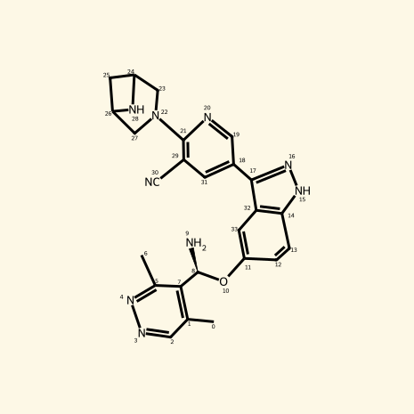 Cc1cnnc(C)c1[C@@H](N)Oc1ccc2[nH]nc(-c3cnc(N4CC5CC(C4)N5)c(C#N)c3)c2c1